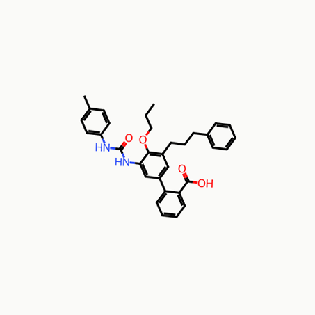 CCCOc1c(CCCc2ccccc2)cc(-c2ccccc2C(=O)O)cc1NC(=O)Nc1ccc(C)cc1